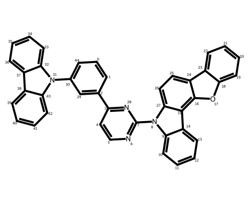 c1cc(-c2ccnc(-n3c4ccccc4c4c5oc6ccccc6c5ccc43)n2)cc(-n2c3ccccc3c3ccccc32)c1